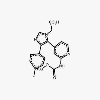 CC(C)(C)OC(=O)Nc1cc(-c2c(-c3ccc(F)cc3)ncn2CC(=O)O)ccn1